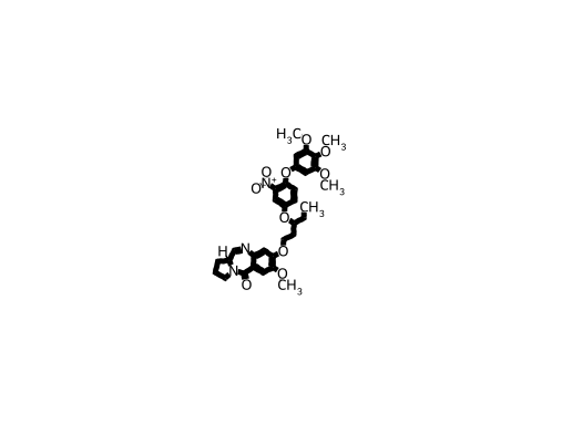 CCC(CCOc1cc2c(cc1OC)C(=O)N1CCC[C@H]1C=N2)Oc1ccc(Oc2cc(OC)c(OC)c(OC)c2)c([N+](=O)[O-])c1